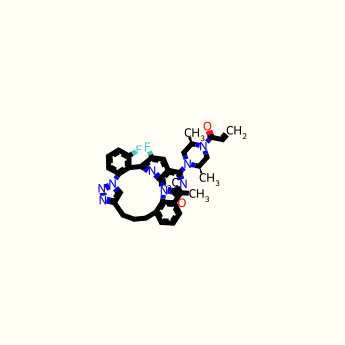 C=CC(=O)N1C[C@H](C)N(c2nc(=O)n3c4nc(c(F)cc24)-c2c(F)cccc2-n2cc(nn2)CCCc2cccc(C(C)C)c2-3)C[C@H]1C